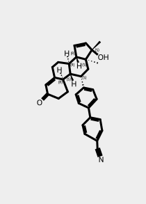 C[C@]1(O)C=C[C@H]2[C@@H]3CCC4=CC(=O)CC[C@@H]4[C@H]3[C@@H](c3ccc(-c4ccc(C#N)cc4)cc3)C[C@@]21C